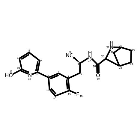 N#C[C@H](Cc1cc(-c2cccc(O)n2)ccc1F)NC(=O)C1NC2CCC1C2